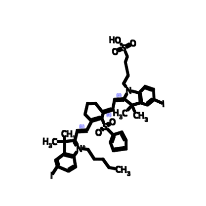 CCCCC[N+]1=C(/C=C/C2=C(S(=O)(=O)c3ccccc3)C(=C/C=C3/N(CCCCS(=O)(=O)O)c4ccc(I)cc4C3(C)C)/CCC2)C(C)(C)c2cc(I)ccc21